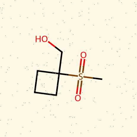 CS(=O)(=O)C1(CO)CCC1